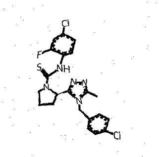 Cc1nnc([C@H]2CCCN2C(=S)Nc2ccc(Cl)cc2F)n1Cc1ccc(Cl)cc1